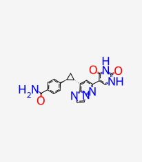 NC(=O)c1ccc([C@H]2C[C@@H]2c2cc(-c3c[nH]c(=O)[nH]c3=O)nn3ccnc23)cc1